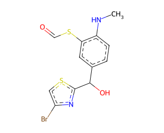 CNc1ccc(C(O)c2nc(Br)cs2)cc1SC=O